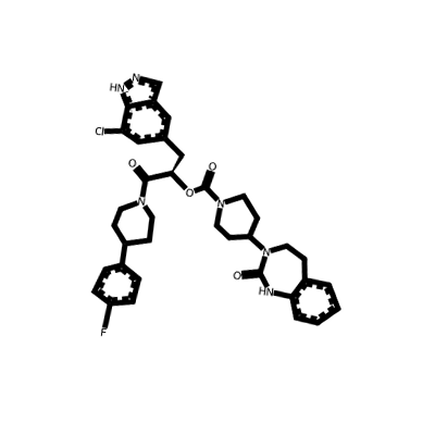 O=C(O[C@H](Cc1cc(Cl)c2[nH]ncc2c1)C(=O)N1CCC(c2ccc(F)cc2)CC1)N1CCC(N2CCc3ccccc3NC2=O)CC1